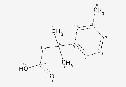 Cc1cccc(C(C)(C)CC(=O)O)c1